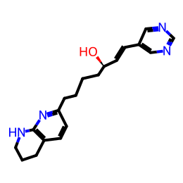 O[C@@H](C=Cc1cncnc1)CCCCc1ccc2c(n1)NCCC2